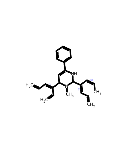 C=C/C=C(\C=C)C1C=C(c2ccccc2)NC(C(/C=C\C)=C/C=C)N1C